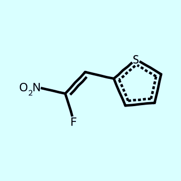 O=[N+]([O-])/C(F)=C/c1cccs1